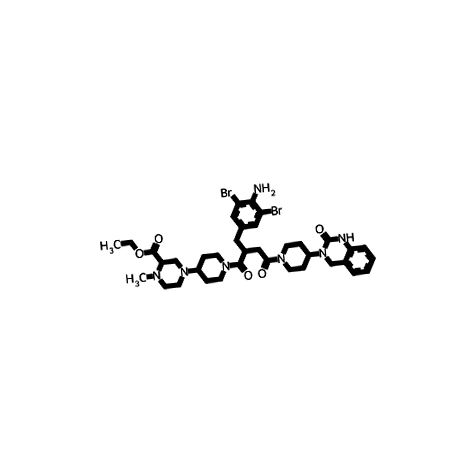 CCOC(=O)C1CN(C2CCN(C(=O)C(CC(=O)N3CCC(N4Cc5ccccc5NC4=O)CC3)Cc3cc(Br)c(N)c(Br)c3)CC2)CCN1C